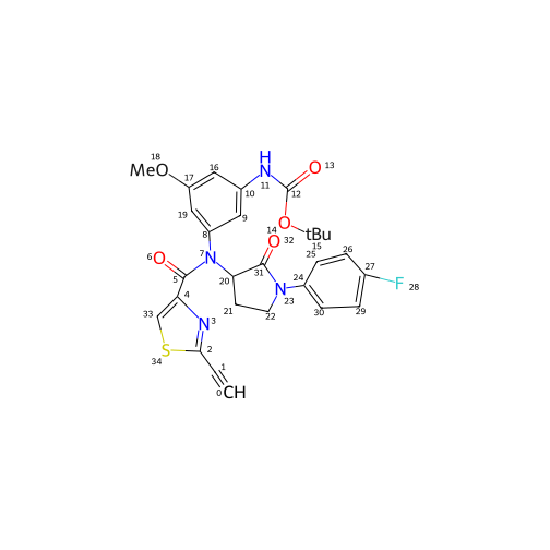 C#Cc1nc(C(=O)N(c2cc(NC(=O)OC(C)(C)C)cc(OC)c2)C2CCN(c3ccc(F)cc3)C2=O)cs1